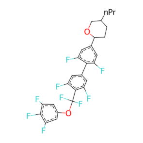 CCCC1CCC(c2cc(F)c(-c3cc(F)c(C(F)(F)Oc4cc(F)c(F)c(F)c4)c(F)c3)c(F)c2)OC1